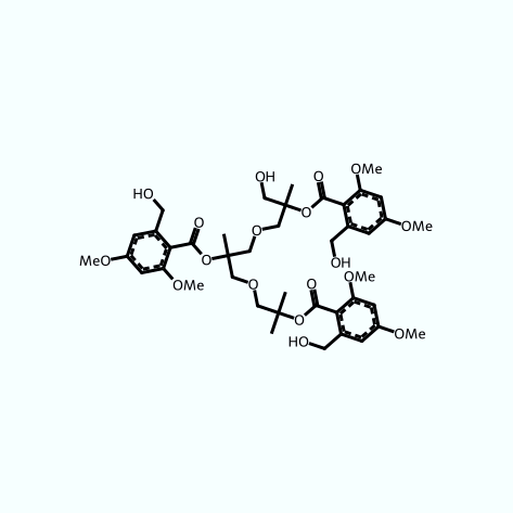 COc1cc(CO)c(C(=O)OC(C)(C)COCC(C)(COCC(C)(CO)OC(=O)c2c(CO)cc(OC)cc2OC)OC(=O)c2c(CO)cc(OC)cc2OC)c(OC)c1